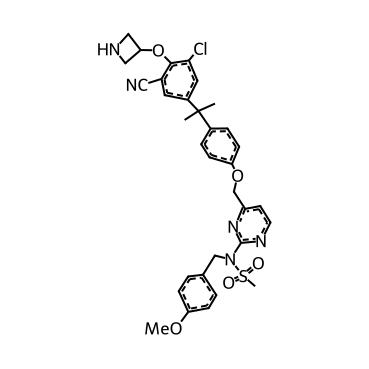 COc1ccc(CN(c2nccc(COc3ccc(C(C)(C)c4cc(Cl)c(OC5CNC5)c(C#N)c4)cc3)n2)S(C)(=O)=O)cc1